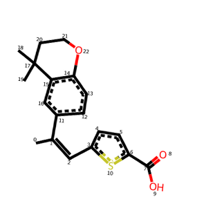 C/C(=C/c1ccc(C(=O)O)s1)c1ccc2c(c1)C(C)(C)CCO2